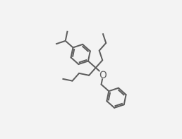 CCCCC(CCCC)(OCc1ccccc1)c1ccc(C(C)C)cc1